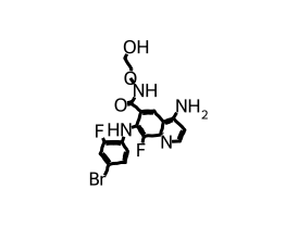 Nc1ccnc2c(F)c(Nc3ccc(Br)cc3F)c(C(=O)NOCCO)cc12